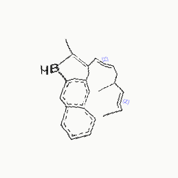 C/C=C\C(C)/C=C\C1=C(C)Bc2cc3ccccc3cc21